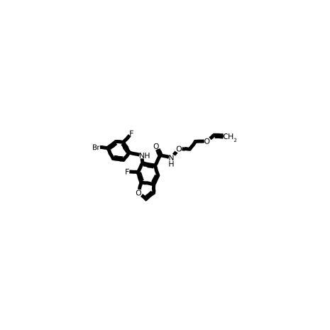 C=COCCONC(=O)c1cc2ccoc2c(F)c1Nc1ccc(Br)cc1F